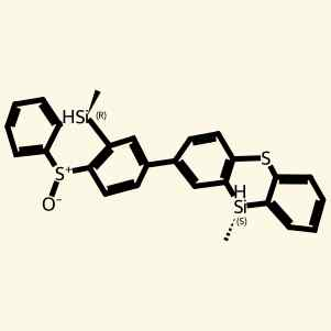 C[Si@H]1c2ccccc2Sc2ccc(-c3ccc4c(c3)[Si@H](C)c3ccccc3[S+]4[O-])cc21